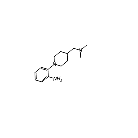 CN(C)CC1CCN(c2ccccc2N)CC1